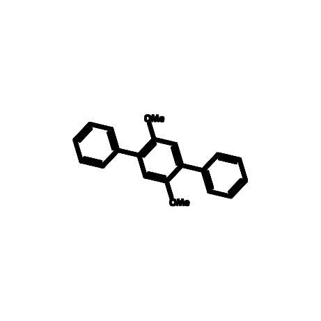 COc1cc(-c2ccccc2)c(OC)cc1-c1ccccc1